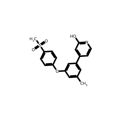 Cc1cc(Oc2ccc(S(C)(=O)=O)cc2)cc(-c2ccnc(O)c2)c1